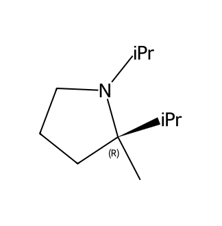 CC(C)N1CCC[C@]1(C)C(C)C